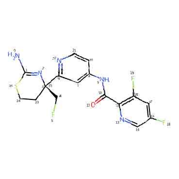 NC1=N[C@](CF)(c2cc(NC(=O)c3ncc(F)cc3F)ccn2)CCS1